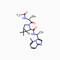 Cc1cccc2ncc(C(C#N)NC(=O)C3[C@H]4C(CN3C(=O)[C@@H](NC(=O)C(F)(F)F)C(C)(C)C)C4(C)C)n12